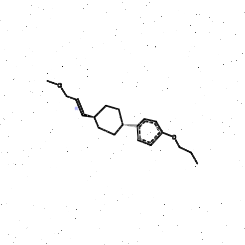 CCCOc1ccc([C@H]2CC[C@H](/C=C/COC)CC2)cc1